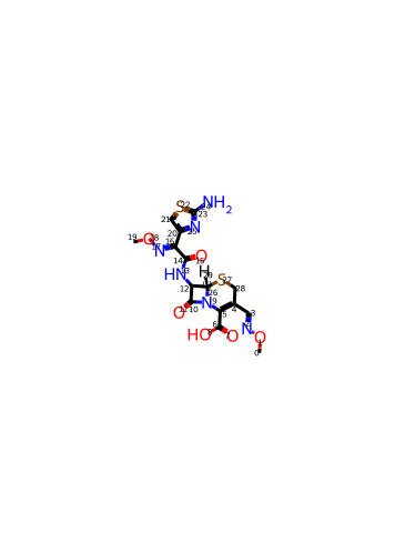 CON=CC1=C(C(=O)O)N2C(=O)C(NC(=O)C(=NOC)c3csc(N)n3)[C@@H]2SC1